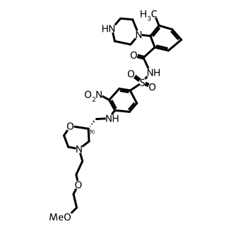 COCCOCCN1CCO[C@H](CNc2ccc(S(=O)(=O)NC(=O)c3cccc(C)c3N3CCNCC3)cc2[N+](=O)[O-])C1